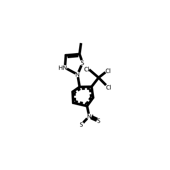 CC1=CNN(c2ccc([N+](=S)[S-])cc2C(Cl)(Cl)Cl)S1